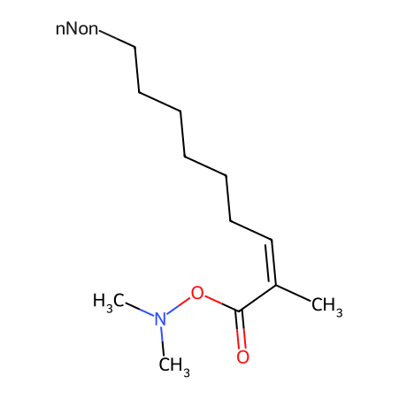 CCCCCCCCCCCCCCCC=C(C)C(=O)ON(C)C